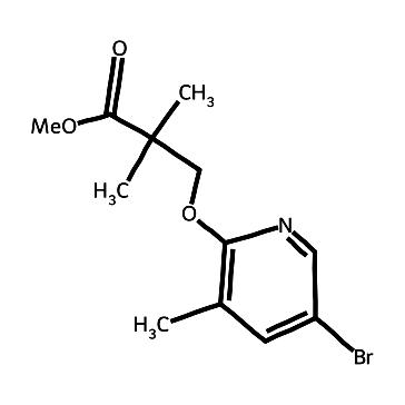 COC(=O)C(C)(C)COc1ncc(Br)cc1C